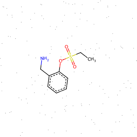 CCS(=O)(=O)Oc1ccccc1CN